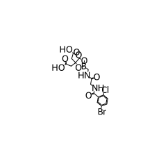 O=C(O)CC1(CC(=O)O)OB(CNC(=O)CNC(=O)c2cc(Br)ccc2Cl)OC1=O